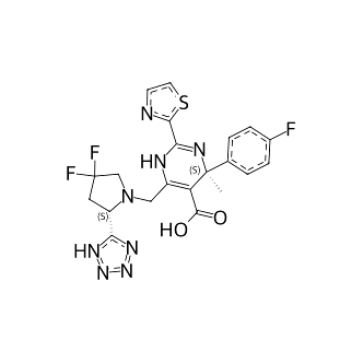 C[C@@]1(c2ccc(F)cc2)N=C(c2nccs2)NC(CN2CC(F)(F)C[C@H]2c2nnn[nH]2)=C1C(=O)O